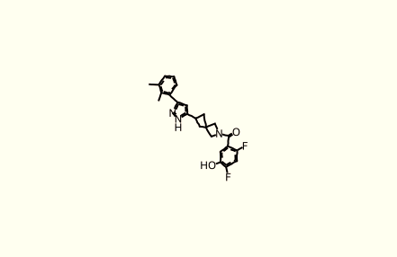 Cc1cccc(-c2cc(C3CC4(C3)CN(C(=O)c3cc(O)c(F)cc3F)C4)[nH]n2)c1C